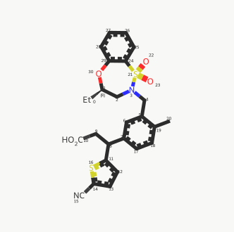 CC[C@@H]1CN(Cc2cc(C(CC(=O)O)c3ccc(C#N)s3)ccc2C)S(=O)(=O)c2ccccc2O1